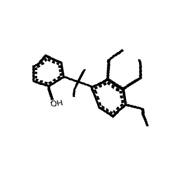 CCc1ccc(C(C)(C)c2ccccc2O)c(CC)c1CC